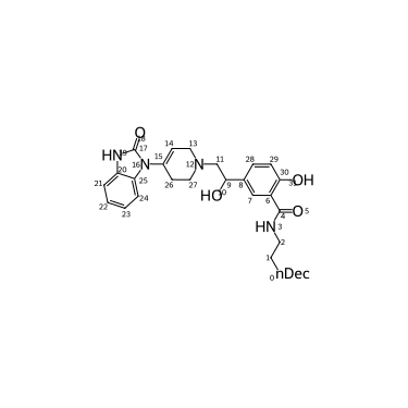 CCCCCCCCCCCCNC(=O)c1cc(C(O)CN2CC=C(n3c(=O)[nH]c4ccccc43)CC2)ccc1O